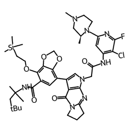 C[C@H]1CN(C)CCN1c1cc(NC(=O)Cn2cc(-c3cc(C(=O)NC(C)(C)CC(C)(C)C)c(OCC[Si](C)(C)C)c4c3OCO4)c3c(=O)n4c(nc32)CCC4)c(Cl)c(F)n1